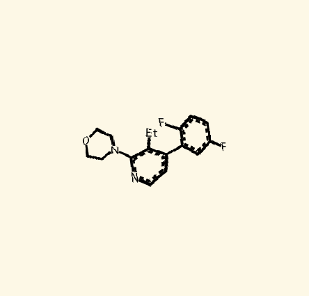 CCc1c(-c2cc(F)ccc2F)ccnc1N1CCOCC1